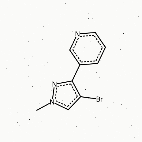 Cn1cc(Br)c(-c2cccnc2)n1